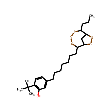 CCCC1SSSC(CCCCCCCc2ccc(C(C)(C)C)c(O)c2)C2CC1SS2